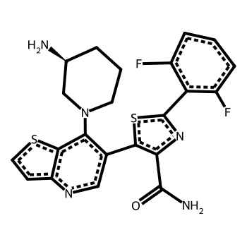 NC(=O)c1nc(-c2c(F)cccc2F)sc1-c1cnc2ccsc2c1N1CCC[C@H](N)C1